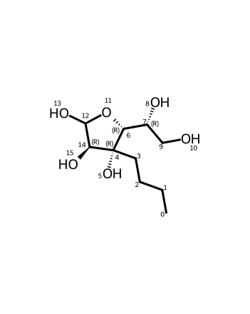 CCCC[C@]1(O)[C@@H]([C@H](O)CO)OC(O)[C@@H]1O